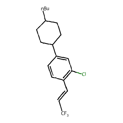 CCCCC1CCC(c2ccc(/C=C/C(F)(F)F)c(Cl)c2)CC1